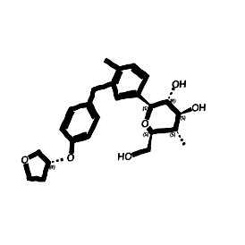 Cc1ccc([C@@H]2O[C@H](CO)[C@@H](C)[C@H](O)[C@H]2O)cc1Cc1ccc(O[C@@H]2CCOC2)cc1